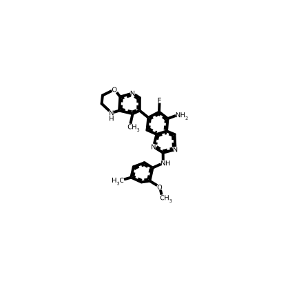 COc1cc(C)ccc1Nc1ncc2c(N)c(F)c(-c3cnc4c(c3C)NCCO4)cc2n1